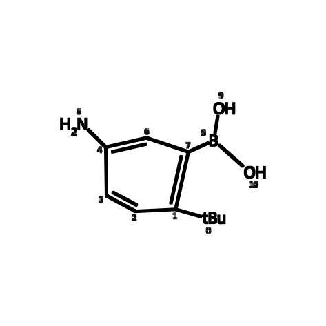 CC(C)(C)c1ccc(N)cc1B(O)O